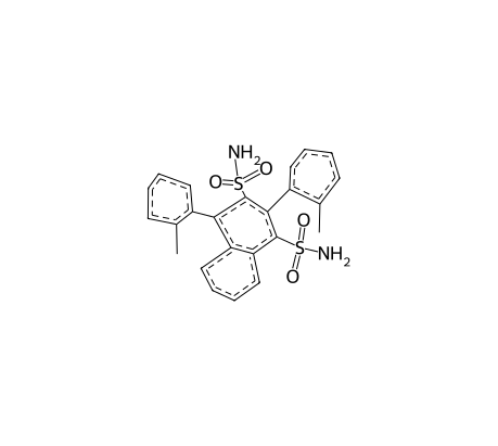 Cc1ccccc1-c1c(S(N)(=O)=O)c(-c2ccccc2C)c2ccccc2c1S(N)(=O)=O